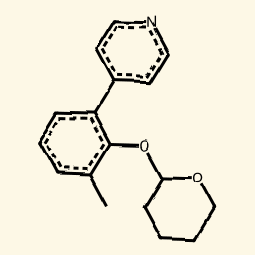 Cc1cccc(-c2ccncc2)c1OC1CCCCO1